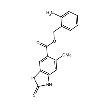 COc1cc2[nH]c(=S)[nH]c2cc1C(=O)OCc1ccccc1N